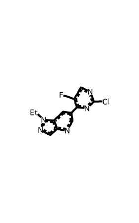 CCn1ncc2ncc(-c3nc(Cl)ncc3F)cc21